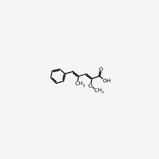 CO/C(=C\C(C)=C\c1ccccc1)C(=O)O